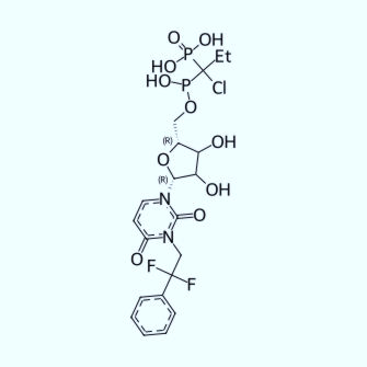 CCC(Cl)(P(O)OC[C@H]1O[C@@H](n2ccc(=O)n(CC(F)(F)c3ccccc3)c2=O)C(O)C1O)P(=O)(O)O